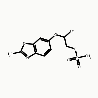 CCC(COS(C)(=O)=O)Oc1ccc2nc(C)oc2c1